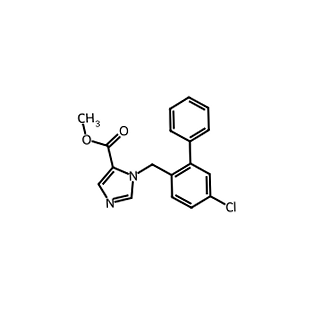 COC(=O)c1cncn1Cc1ccc(Cl)cc1-c1ccccc1